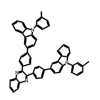 Cc1cccc(-n2c3ccccc3c3cc(-c4ccc(-c5nc6ccccc6nc5-c5ccc(-c6ccc7c(c6)c6ccccc6n7-c6cccc(C)c6)cc5)cc4)ccc32)c1